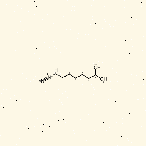 N#[N+]NCCCCCC(O)O